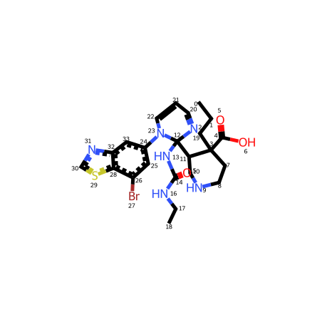 CCCC1(C(=O)O)CCNCC1C1(NC(=O)NCC)N=CC=CN1c1cc(Br)c2scnc2c1